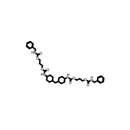 O=C(NCc1ccccc1)OCCCOC(=O)NC1CCC(CC2CCC(NC(=O)OCCCOC(=O)NCc3ccccc3)CC2)CC1